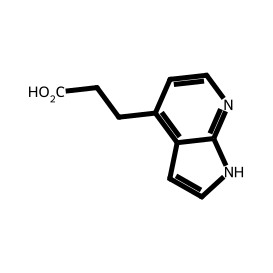 O=C(O)CCc1ccnc2[nH]ccc12